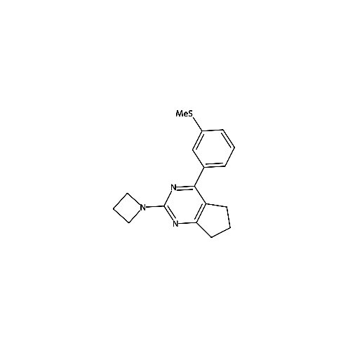 CSc1cccc(-c2nc(N3CCC3)nc3c2CCC3)c1